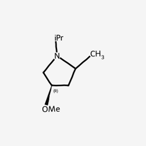 CO[C@@H]1CC(C)N(C(C)C)C1